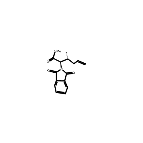 C=CC[C@@H](C)[C@H](C(=O)OC)N1C(=O)c2ccccc2C1=O